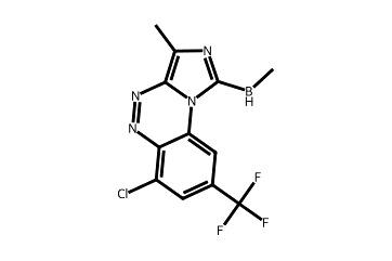 CBc1nc(C)c2nnc3c(Cl)cc(C(F)(F)F)cc3n12